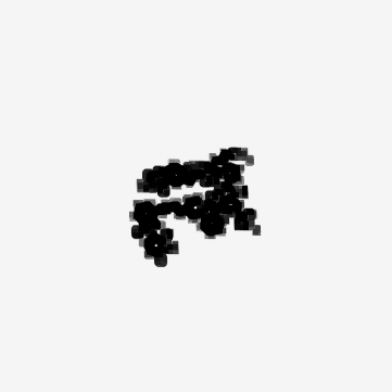 CCCC[C@H](NC(=O)c1cc2cc(C(=O)P(=O)(O)O)ccc2s1)C(=O)N1CCC[C@H]1C(=O)N[C@@H](CNC(N)=O)C(=O)N[C@H](C(=O)N1CCC(CCC#Cc2cccc3c2CN(C2CCC(=O)NC2=O)C3=O)CC1)c1ccccc1